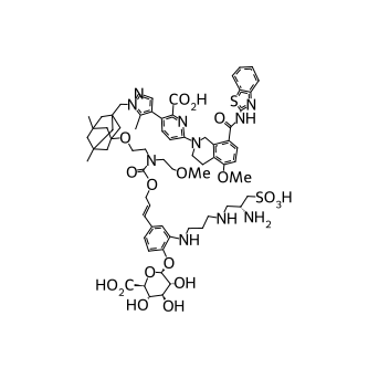 COCCN(CCOC12CC3(C)CC(C)(CC(Cn4ncc(-c5ccc(N6CCc7c(OC)ccc(C(=O)Nc8nc9ccccc9s8)c7C6)nc5C(=O)O)c4C)(C3)C1)C2)C(=O)OC/C=C/c1ccc(O[C@@H]2O[C@H](C(=O)O)[C@@H](O)[C@H](O)[C@H]2O)c(NCCCNC[C@@H](N)CS(=O)(=O)O)c1